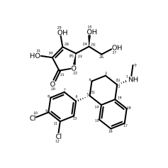 CN[C@H]1CC[C@@H](c2ccc(Cl)c(Cl)c2)c2ccccc21.O=C1O[C@H]([C@@H](O)CO)C(O)=C1O